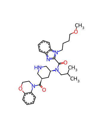 COCCCCn1c(C(=O)N(CC(C)C)[C@@H]2CNC[C@H](C(=O)N3CCOc4ccccc43)C2)nc2ccccc21